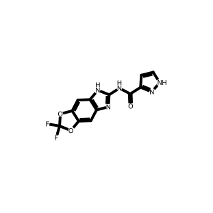 O=C(Nc1nc2cc3c(cc2[nH]1)OC(F)(F)O3)c1cc[nH]n1